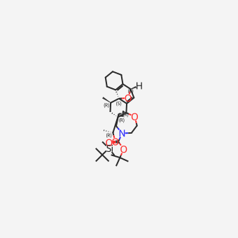 C[C@@H]1C[C@@]23CN(C(=O)OC(C)(C)C)CCO[C@@]2(CC=C3[C@@H](C)O[Si](C)(C)C(C)(C)C)C2=C[C@@H]3O[C@@]21C1=C3CCCC1